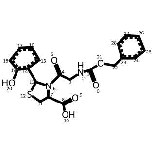 O=C(NCC(=O)N1C(C(=O)O)CSC1c1ccccc1O)OCc1ccccc1